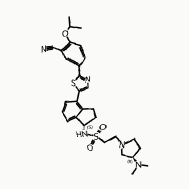 CC(C)Oc1ccc(-c2ncc(-c3cccc4c3CC[C@@H]4NS(=O)(=O)CCN3CC[C@@H](N(C)C)C3)s2)cc1C#N